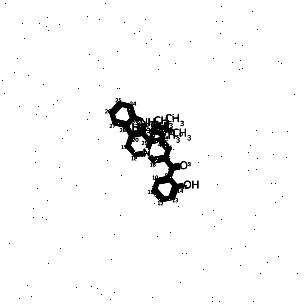 CC(C)(C)C1=CC(C(=O)c2ccccc2O)=CN2CCc3c([nH]c4ccccc34)C12C(C)(C)C